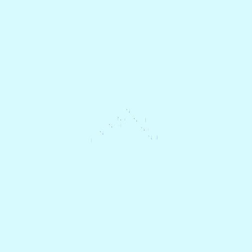 [H+].[NaH].[NaH].[NaH].[NaH].[NaH].[NaH].[NaH]